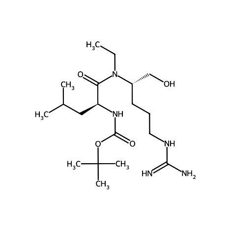 CCN(C(=O)[C@H](CC(C)C)NC(=O)OC(C)(C)C)[C@H](CO)CCCNC(=N)N